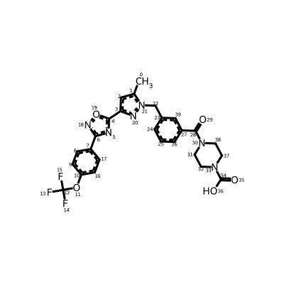 Cc1cc(-c2nc(-c3ccc(OC(F)(F)F)cc3)no2)nn1Cc1cccc(C(=O)N2CCN(C(=O)O)CC2)c1